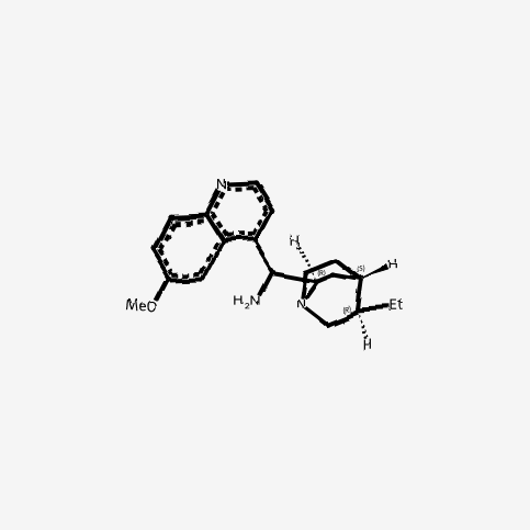 CC[C@H]1CN2CC[C@H]1C[C@@H]2C(N)c1ccnc2ccc(OC)cc12